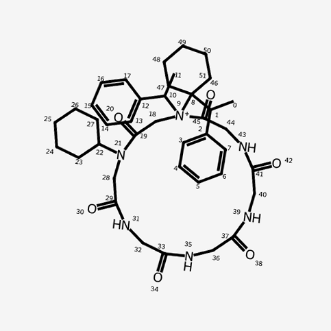 CC(c1ccccc1)C1([N+]2(C(C)c3ccccc3)CC(=O)N(C3CCCCC3)CC(=O)NCC(=O)NCC(=O)NCC(=O)NCC2=O)CCCCC1